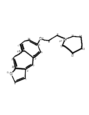 c1cc2cc3cc(OCCN4CCCCC4)ccc3cc2o1